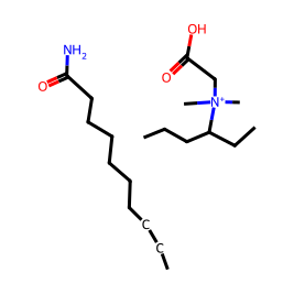 CCCC(CC)[N+](C)(C)CC(=O)O.CCCCCCCCCC(N)=O